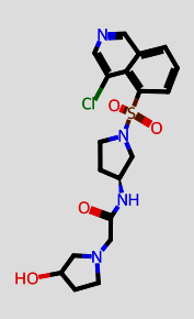 O=C(CN1CCC(O)C1)N[C@H]1CCN(S(=O)(=O)c2cccc3cncc(Cl)c23)C1